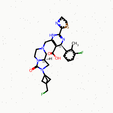 Cc1c(F)cccc1[C@@H]1N=C(c2nccs2)NC(CN2CCN3C(=O)N(C45CC(CF)(C4)C5)C[C@@H]3C2)=C1C(=O)O